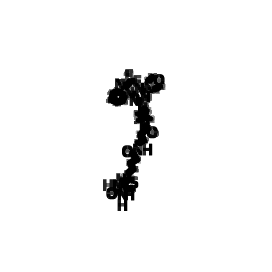 O=C(CCCC[C@@H]1SC[C@@H]2NC(=O)N[C@@H]21)NCC=CC(=O)N1CC2(C1)CN(c1nc(N3CCOCC3)nc(-n3c(C(F)F)nc4ccccc43)n1)C2